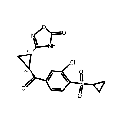 O=C(c1ccc(S(=O)(=O)C2CC2)c(Cl)c1)[C@H]1C[C@@H]1c1noc(=O)[nH]1